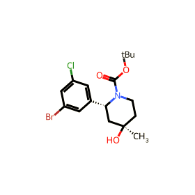 CC(C)(C)OC(=O)N1CC[C@@](C)(O)C[C@@H]1c1cc(Cl)cc(Br)c1